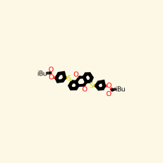 CCC(C)C(=O)Oc1ccc(Sc2cccc3c2C(=O)c2cccc(Sc4ccc(OC(=O)C(C)CC)cc4)c2C3=O)cc1